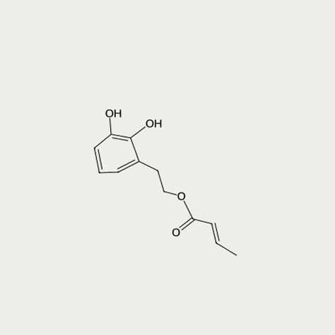 C/C=C/C(=O)OCCc1cccc(O)c1O